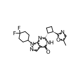 Cc1cnc([C@@H]2CC[C@H]2c2nc3c(cnn3C3CCC(F)(F)CC3)c(=O)[nH]2)o1